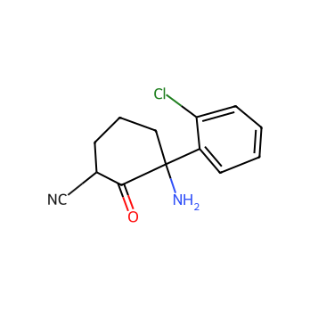 N#CC1CCCC(N)(c2ccccc2Cl)C1=O